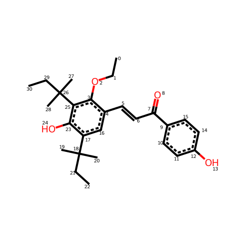 CCOc1c(/C=C/C(=O)c2ccc(O)cc2)cc(C(C)(C)CC)c(O)c1C(C)(C)CC